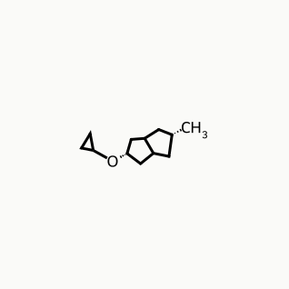 C[C@H]1CC2C[C@@H](OC3CC3)CC2C1